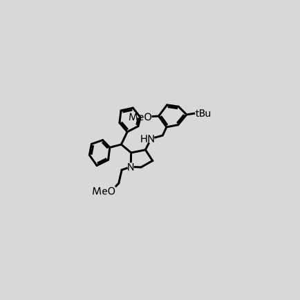 COCCN1CCC(NCc2cc(C(C)(C)C)ccc2OC)C1C(c1ccccc1)c1ccccc1